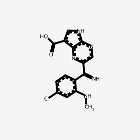 CNc1cc(Cl)ccc1C(=N)c1cnc2[nH]cc(C(=O)O)c2n1